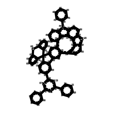 c1ccc(-c2nc(-c3ccccc3)nc(-c3ccc4c(c3)-c3cc5c6ccc7sc8ccc9c(c8c7c6)c6c(cccc6n9-c6ccccc6)c5cc3C43c4ccccc4Oc4ccccc43)n2)cc1